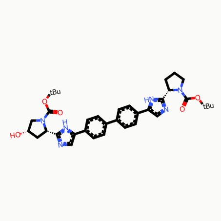 CC(C)(C)OC(=O)N1CCC[C@H]1c1ncc(-c2ccc(-c3ccc(-c4cnc([C@@H]5C[C@H](O)CN5C(=O)OC(C)(C)C)[nH]4)cc3)cc2)[nH]1